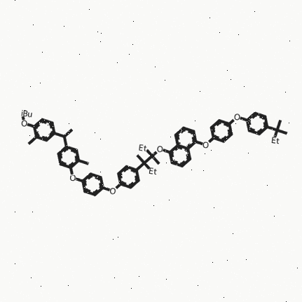 CCC(C)Oc1ccc(C(C)c2ccc(Oc3ccc(Oc4ccc(C(C)(CC)C(C)(CC)Oc5cccc6c(Oc7ccc(Oc8ccc(C(C)(C)CC)cc8)cc7)cccc56)cc4)cc3)c(C)c2)cc1C